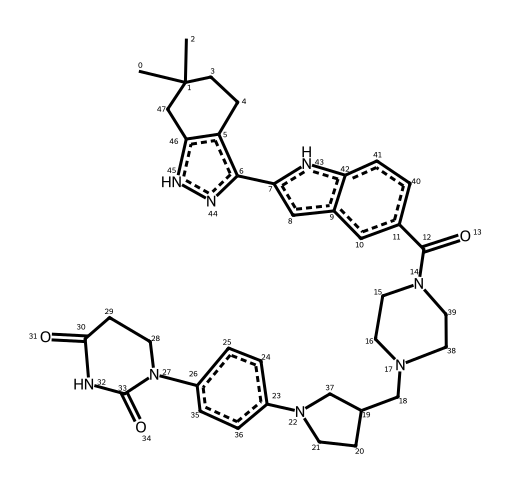 CC1(C)CCc2c(-c3cc4cc(C(=O)N5CCN(CC6CCN(c7ccc(N8CCC(=O)NC8=O)cc7)C6)CC5)ccc4[nH]3)n[nH]c2C1